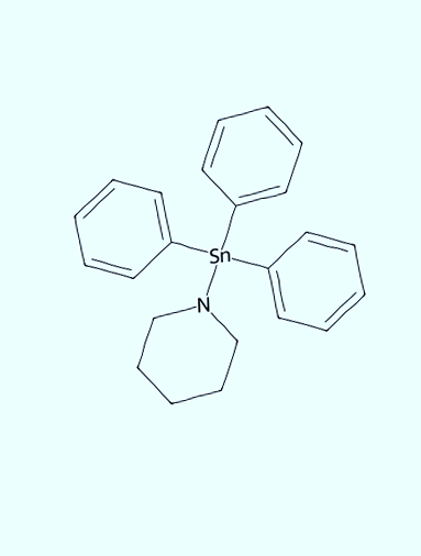 c1cc[c]([Sn]([c]2ccccc2)([c]2ccccc2)[N]2CCCCC2)cc1